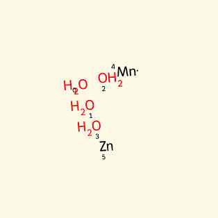 O.O.O.O.[Mn].[Zn]